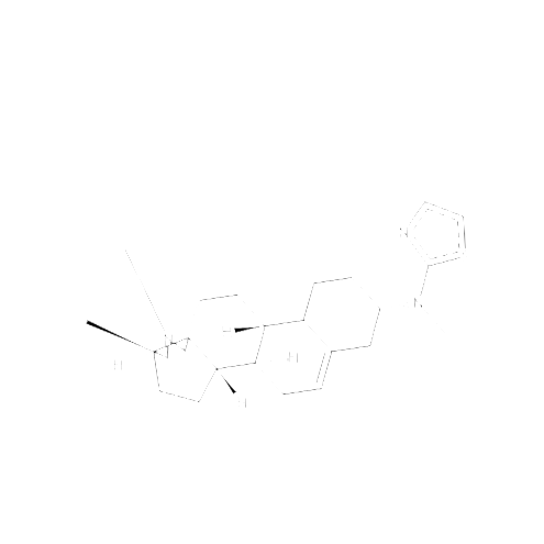 C[C@H]1[C@H]2CC[C@H]3[C@@H]4CC=C5C[C@@H](N(C)c6nccs6)CC[C@]5(C)[C@H]4CC[C@]23CN1C